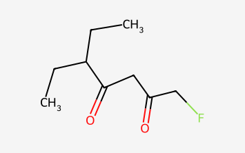 CCC(CC)C(=O)CC(=O)CF